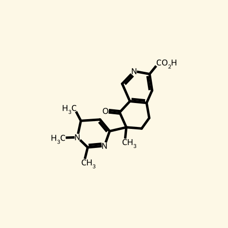 CC1=NC(C2(C)CCc3cc(C(=O)O)ncc3C2=O)=CC(C)N1C